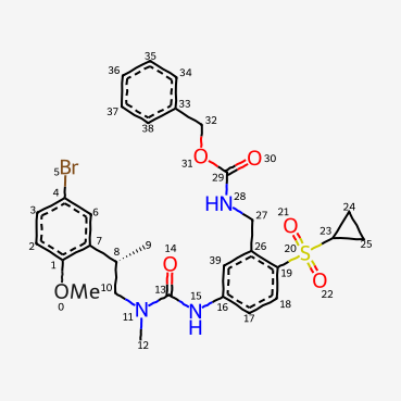 COc1ccc(Br)cc1[C@H](C)CN(C)C(=O)Nc1ccc(S(=O)(=O)C2CC2)c(CNC(=O)OCc2ccccc2)c1